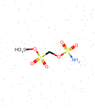 NS(=O)(=O)OCS(=O)(=O)OS(=O)(=O)O